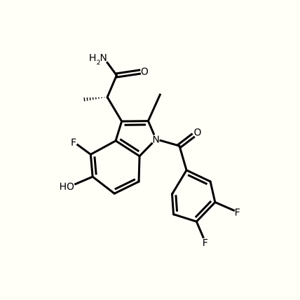 Cc1c([C@H](C)C(N)=O)c2c(F)c(O)ccc2n1C(=O)c1ccc(F)c(F)c1